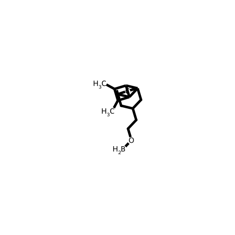 BOCCC1CC2CC3(C1)C1C(C)=C(C)C213